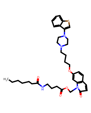 CCCCCCC(=O)NCCCC(=O)OCn1c(=O)ccc2ccc(OCCCCN3CCN(c4csc5ccccc45)CC3)cc21